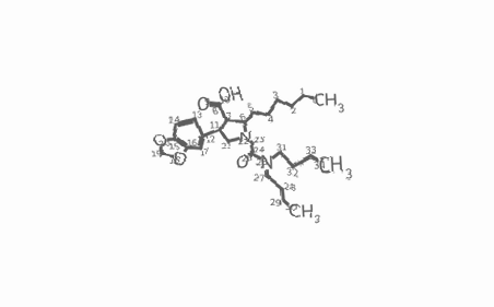 CCCCCCC1C(C(=O)O)C(c2ccc3c(c2)OCO3)CN1CC(=O)N(CCCC)CCCC